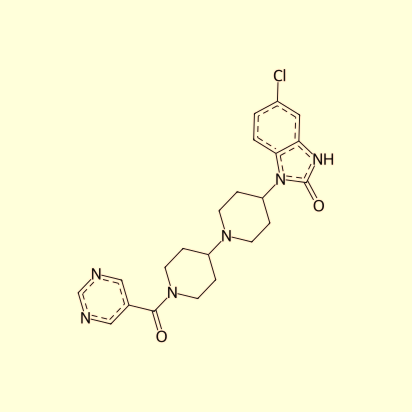 O=C(c1cncnc1)N1CCC(N2CCC(n3c(=O)[nH]c4cc(Cl)ccc43)CC2)CC1